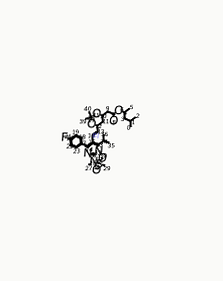 CC(C)CC(C)OC(=O)CC1CC(/C=C/c2c(-c3ccc(F)cc3)nc(N(C)S(C)(=O)=O)nc2C(C)C)OC(C)(C)O1